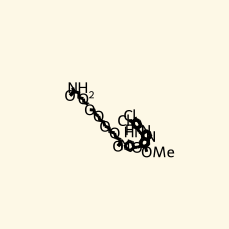 COc1cc2ncnc(Nc3ccc(Cl)c(Cl)c3F)c2cc1OC1CCN(C(=O)CCOCCOCCOCCOCCOCCC(N)=O)CC1